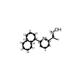 CC(=NO)c1cccc(-c2cccc3ccccc23)n1